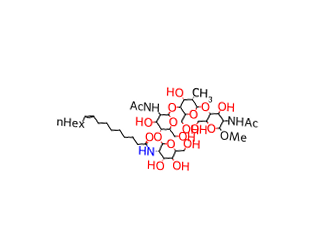 CCCCCC/C=C\CCCCCCCC(=O)N[C@@H]1C(O[C@H]2C(CO)O[C@H](OC3C(CO)OC(O[C@H]4C(CO)O[C@H](OC)[C@H](NC(C)=O)C4O)[C@@H](C)[C@H]3O)[C@H](NC(C)=O)C2O)OC(CO)C(O)[C@@H]1O